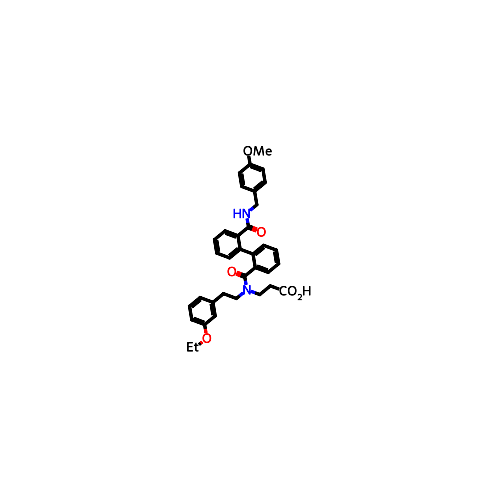 CCOc1cccc(CCN(CCC(=O)O)C(=O)c2ccccc2-c2ccccc2C(=O)NCc2ccc(OC)cc2)c1